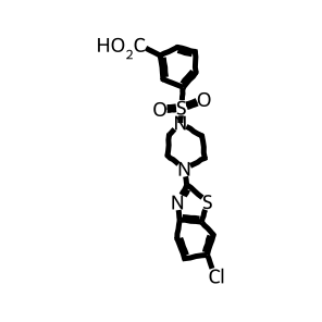 O=C(O)c1cccc(S(=O)(=O)N2CCN(c3nc4ccc(Cl)cc4s3)CC2)c1